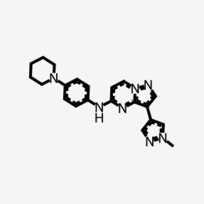 Cn1cc(-c2cnn3ccc(Nc4ccc(N5CCCCC5)cc4)nc23)cn1